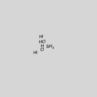 Cl.Cl.I.I.[SiH4]